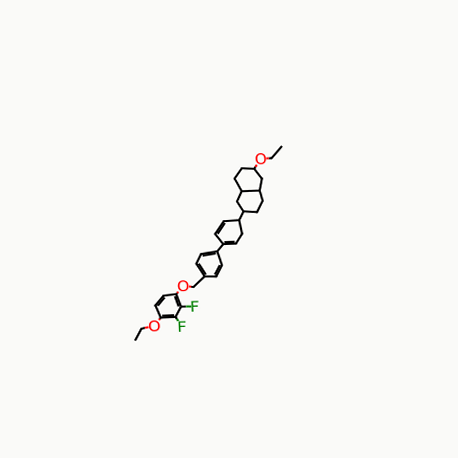 CCOc1ccc(OCc2ccc(C3=CCC(C4CCC5CC(OCC)CCC5C4)C=C3)cc2)c(F)c1F